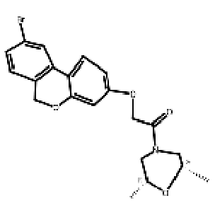 C[C@@H]1CN(C(=O)COc2ccc3c(c2)OCc2ccc(Br)cc2-3)C[C@H](C)O1